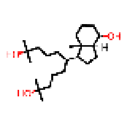 CC(C)(O)CCCC(CCCC(C)(C)O)[C@@H]1CC[C@@H]2[C@H](O)CCC[C@]21C